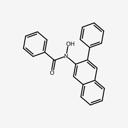 O=C(c1ccccc1)N(O)c1cc2ccccc2cc1-c1ccccc1